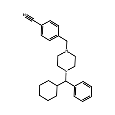 N#Cc1ccc(CN2CCN(C(c3ccccc3)C3CCCCC3)CC2)cc1